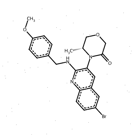 COc1ccc(CNc2nc3ccc(Br)cc3cc2N2C(=O)COC[C@H]2C)cc1